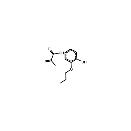 C=C(C)C(=O)O.CCCOc1ccccc1O